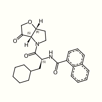 O=C(N[C@@H](CC1CCCCC1)C(=O)N1CC[C@H]2OCC(=O)[C@H]21)c1cccc2ccccc12